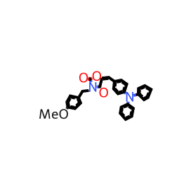 COc1ccc(CCN2C(=O)O/C(=C/c3ccc(N(c4ccccc4)c4ccccc4)cc3)C2=O)cc1